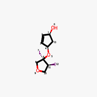 O[C@@H]1C=C[C@H](O[C@]2(I)COC[C@@H]2I)C1